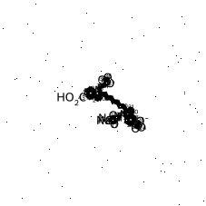 CC1(C)C(=CC=CC=CC=CC2=[N+](CCS(=O)(=O)[O-])c3ccc(S(=O)(=O)[O-])cc3C2(C)C)N(CCS(=O)(=O)[O-])c2ccc(C(=O)O)cc21.[Na+].[Na+]